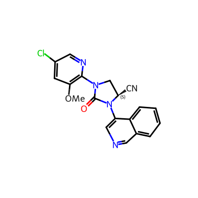 COc1cc(Cl)cnc1N1C[C@@H](C#N)N(c2cncc3ccccc23)C1=O